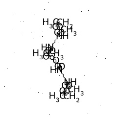 C=C(C)C(=O)OCC(C)OC(=O)NCCCCCCNC(=O)OCCOc1ccc(C(=O)C(C)(C)OC(=O)NCCCCCCNC(=O)OC(C)COC(=O)C(=C)C)cc1